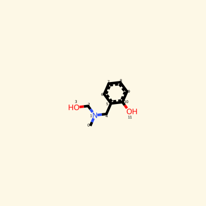 CN(CO)Cc1ccccc1O